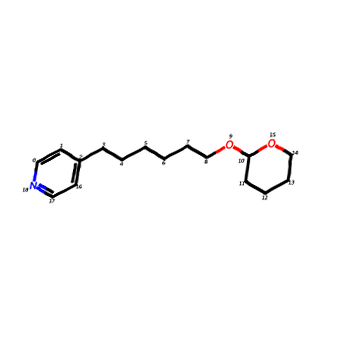 c1cc(CCCCCCOC2CCCCO2)ccn1